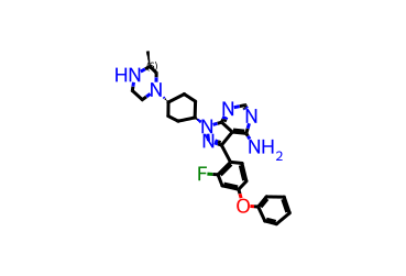 C[C@H]1CN([C@H]2CC[C@H](n3nc(-c4ccc(Oc5ccccc5)cc4F)c4c(N)ncnc43)CC2)CCN1